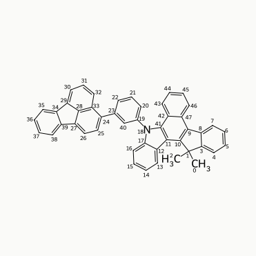 CC1(C)c2ccccc2-c2c1c1c3ccccc3n(-c3cccc(-c4ccc5c6c(cccc46)-c4ccccc4-5)c3)c1c1ccccc21